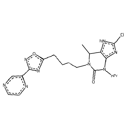 CCCN1C(=O)N(CCCCc2nc(-c3cnccn3)no2)C(C)c2[nH]c(Cl)nc21